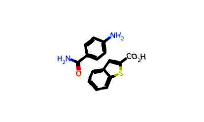 NC(=O)c1ccc(N)cc1.O=C(O)c1cc2ccccc2s1